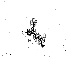 C[C@]1(C(=O)NC2CC2)C(=O)Nc2nc(-c3nn(CCC(F)(F)C(F)(F)F)c4nc(Cl)ccc34)nc(N)c21